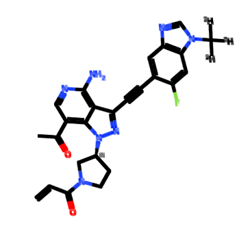 [2H]C([2H])([2H])n1cnc2cc(C#Cc3nn([C@H]4CCN(C(=O)C=C)C4)c4c(C(C)=O)cnc(N)c34)c(F)cc21